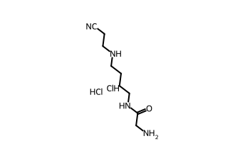 Cl.Cl.N#CCCNCCCCNC(=O)CN